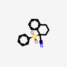 N#CC1(S(=O)(=O)c2ccccc2)CCCc2ccccc21